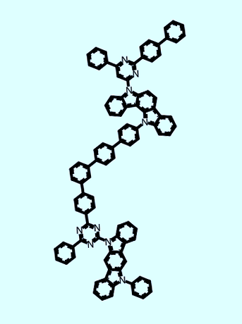 c1ccc(-c2ccc(-c3nc(-c4ccccc4)cc(-n4c5ccccc5c5c4ccc4c6ccccc6n(-c6ccc(-c7ccc(-c8cccc(-c9ccc(-c%10nc(-c%11ccccc%11)nc(-n%11c%12ccccc%12c%12cc%13c(cc%12%11)c%11ccccc%11n%13-c%11ccccc%11)n%10)cc9)c8)cc7)cc6)c45)n3)cc2)cc1